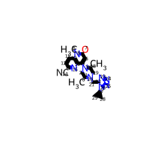 CC1CN(c2cc(=O)n(C)c3ccc(C#N)nc23)[C@@H](C)CN1Cc1nnnn1C1CC1